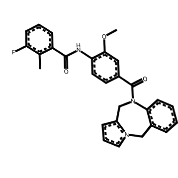 COc1cc(C(=O)N2Cc3cccn3Cc3ccccc32)ccc1NC(=O)c1cccc(F)c1C